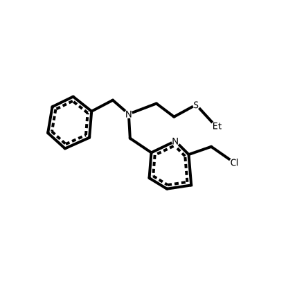 CCSCCN(Cc1ccccc1)Cc1cccc(CCl)n1